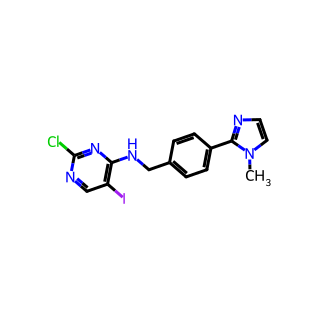 Cn1ccnc1-c1ccc(CNc2nc(Cl)ncc2I)cc1